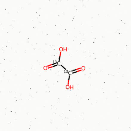 O=[13C](O)[13C](=O)O